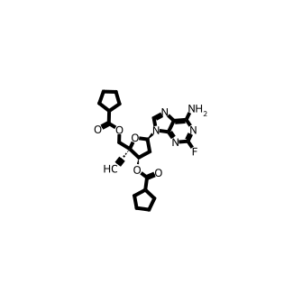 C#C[C@]1(COC(=O)C2CCCC2)O[C@@H](n2cnc3c(N)nc(F)nc32)C[C@@H]1OC(=O)C1CCCC1